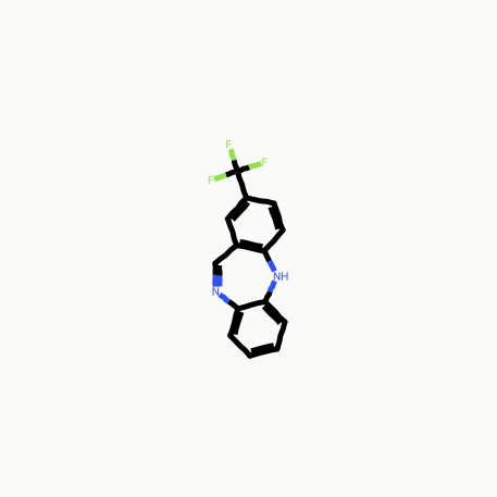 FC(F)(F)c1ccc2c(c1)C=Nc1ccccc1N2